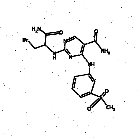 CC(C)CC(Nc1ncc(C(N)=O)c(Nc2cccc(S(C)(=O)=O)c2)n1)C(N)=O